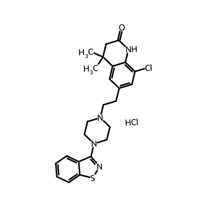 CC1(C)CC(=O)Nc2c(Cl)cc(CCN3CCN(c4nsc5ccccc45)CC3)cc21.Cl